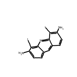 Nc1ccc2cc3ccc(N)c(I)c3nc2c1I